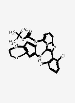 CC(C)(C)OC(=O)Nc1cccc2nc(-c3c(F)cccc3Cl)c(Nc3ccc4c(c3)OCCO4)n12